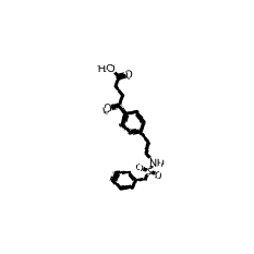 O=C(O)CCC(=O)c1ccc(CCNS(=O)(=O)Cc2ccccc2)cc1